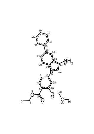 CCOC(=O)c1ccc(-n2cc(N)c3cc(-c4ccccc4)ccc32)cc1OCOC